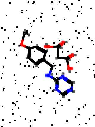 COc1ccc(CNc2ncncn2)cc1.O=C(O)CC(=O)O